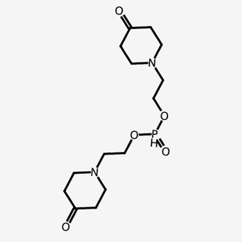 O=C1CCN(CCO[PH](=O)OCCN2CCC(=O)CC2)CC1